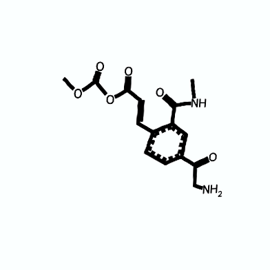 CNC(=O)c1cc(C(=O)CN)ccc1C=CC(=O)OC(=O)OC